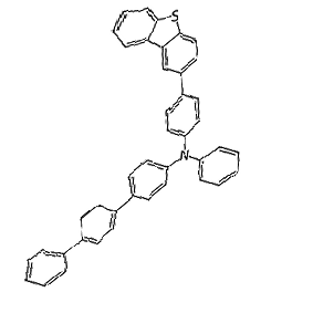 C1=C(c2ccccc2)CCC(c2ccc(N(c3ccccc3)c3ccc(-c4ccc5sc6ccccc6c5c4)cc3)cc2)=C1